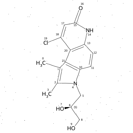 Cc1c(C)n(C[C@H](O)CO)c2ccc3[nH]c(=O)cc(Cl)c3c12